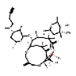 C#CCCN(C)[C@H]1C[C@@H](C)OC(O[C@@H]2[C@@H](C)[C@H](OC3C[C@@](C)(OC)[C@@H](O)[C@H](C)O3)[C@](C)(F)C(=O)O[C@H](CC)[C@@](C)(O)[C@@H]3OCC(=C)CO[C@]2(C)C[C@@H](C)/C(=N\O)[C@@H]3C)[C@@H]1C